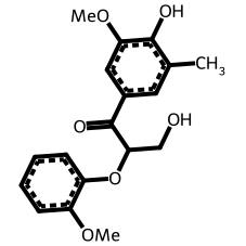 COc1ccccc1OC(CO)C(=O)c1cc(C)c(O)c(OC)c1